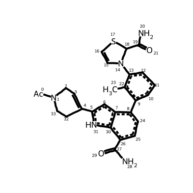 CC(=O)N1CC=C(c2cc3c(-c4cccc(N5C=CSC5C(N)=O)c4C)ccc(C(N)=O)c3[nH]2)CC1